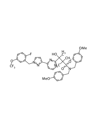 COc1ccc(CN(Cc2ccc(OC)cc2)S(=O)(=O)C(C)(C)C(C)(O)c2cccc(-c3ccn(Cc4cc(OC(F)(F)F)ccc4F)n3)n2)cc1